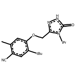 Cc1cc(OCc2n[nH]c(=O)n2C(C)C)c(C(C)(C)C)cc1C#N